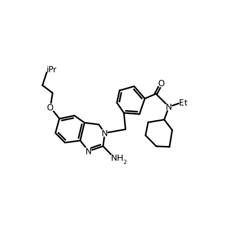 CCN(C(=O)c1cccc(CN2Cc3cc(OCCC(C)C)ccc3N=C2N)c1)C1CCCCC1